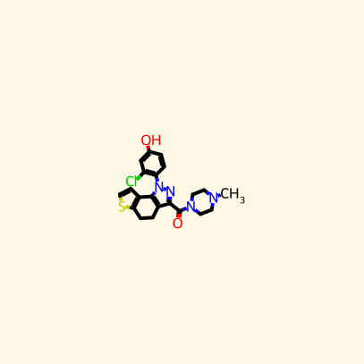 CN1CCN(C(=O)c2nn(-c3ccc(O)cc3Cl)c3c2CCc2sccc2-3)CC1